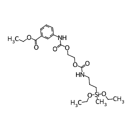 CCOC(=O)c1cccc(NC(=O)OCCOC(=O)NCCC[Si](C)(OCC)OCC)c1